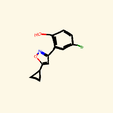 Oc1ccc(Br)cc1-c1cc(C2CC2)on1